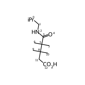 CC(C)CNC(=O)C(C)(C)C(C)(C)CC(=O)O